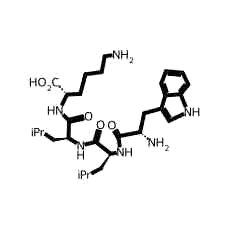 CC(C)C[C@H](NC(=O)[C@H](CC(C)C)NC(=O)[C@@H](N)Cc1c[nH]c2ccccc12)C(=O)N[C@@H](CCCCN)C(=O)O